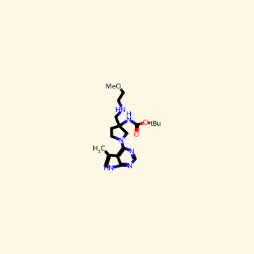 COCCNCC1(NC(=O)OC(C)(C)C)CCN(c2ncnc3[nH]cc(C)c23)C1